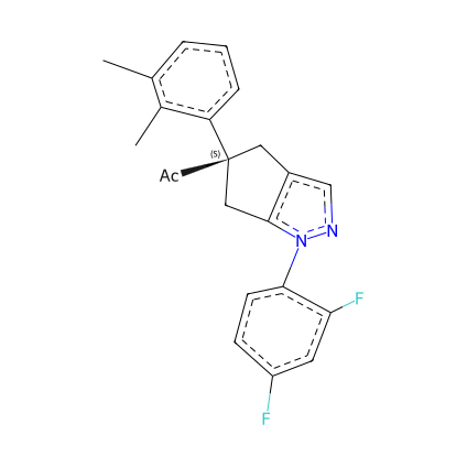 CC(=O)[C@@]1(c2cccc(C)c2C)Cc2cnn(-c3ccc(F)cc3F)c2C1